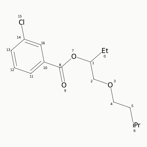 CCC(COCCC(C)C)OC(=O)c1cccc(Cl)c1